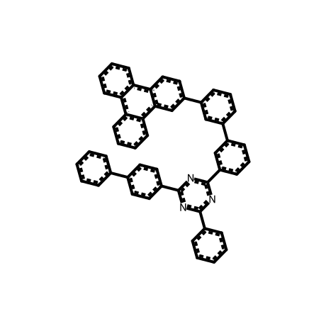 c1ccc(-c2ccc(-c3nc(-c4ccccc4)nc(-c4cccc(-c5cccc(-c6ccc7c8ccccc8c8ccccc8c7c6)c5)c4)n3)cc2)cc1